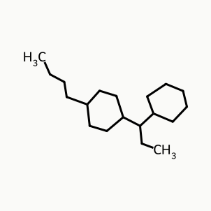 CCCCC1CCC(C(CC)C2CCCCC2)CC1